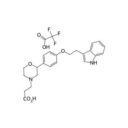 O=C(O)C(F)(F)F.O=C(O)CCN1CCOC(c2ccc(OCCc3c[nH]c4ccccc34)cc2)C1